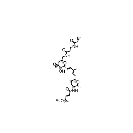 CC(=O)O[C@@H](C)C=CC(=O)N[C@@H]1C[C@H](C)[C@H](CC=C(C)C=C[C@H]2O[C@H](CNC(=O)CCNC(=O)CBr)C[C@@]3(CO3)[C@@H]2O)O[C@@H]1C